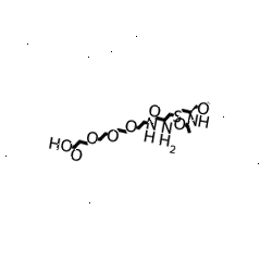 COC[C@H](CSC[C@H](N)C(=O)NCCOCCOCCOCCC(=O)O)NC(C)=O